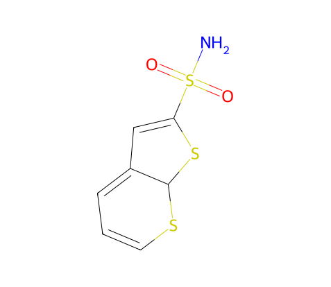 NS(=O)(=O)C1=CC2=CC=CSC2S1